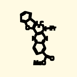 COC(=O)c1ccc2nc(-c3cc4ccccc4o3)c(N(C)C(C)C)nc2c1